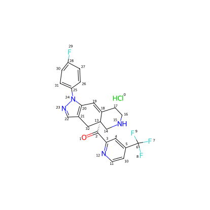 Cl.O=C(c1cc(C(F)(F)F)ccn1)[C@@]12CNCCC1=Cc1c(cnn1-c1ccc(F)cc1)C2